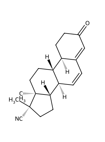 C[C@]1(C#N)CC[C@H]2[C@@H]3C=CC4=CC(=O)CC[C@@H]4[C@H]3CC[C@@]21C